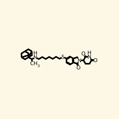 CC(NCCCCCCCSc1ccc2c(c1)CN(C1CCC(=O)NC1=O)C2=O)C12CC3CC(CC(C3)C1)C2